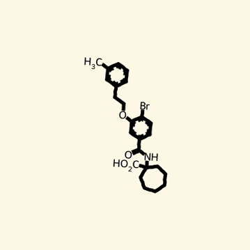 Cc1cccc(CCOc2cc(C(=O)NC3(C(=O)O)CCCCCC3)ccc2Br)c1